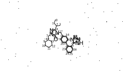 CCC(C)c1nn(CC2CCCCC2)c(=O)n1Cc1ccc(-c2ccccc2-c2nnn[nH]2)cc1